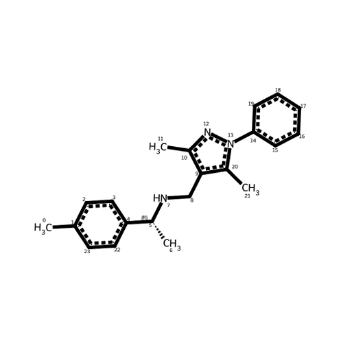 Cc1ccc([C@@H](C)NCc2c(C)nn(-c3ccccc3)c2C)cc1